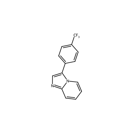 FC(F)(F)c1ccc(-c2cnc3ccccn23)cc1